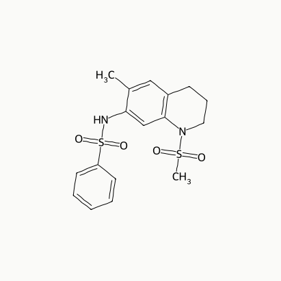 Cc1cc2c(cc1NS(=O)(=O)c1ccccc1)N(S(C)(=O)=O)CCC2